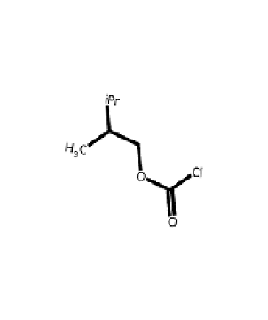 CC(C)C(C)COC(=O)Cl